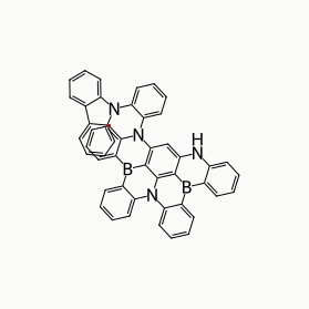 c1ccc2c(c1)Nc1cc3c4c5c1B2c1ccccc1N5c1ccccc1B4c1ccccc1N3c1ccccc1-n1c2ccccc2c2ccccc21